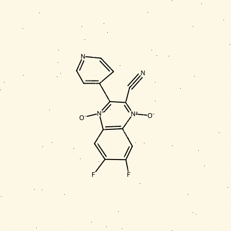 N#Cc1c(-c2ccncc2)[n+]([O-])c2cc(F)c(F)cc2[n+]1[O-]